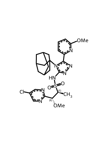 COc1cccc(-c2nnc(NS(=O)(=O)[C@@H](C)[C@H](OC)c3ncc(Cl)cn3)n2C23CC4CC(CC(C4)C2)C3)n1